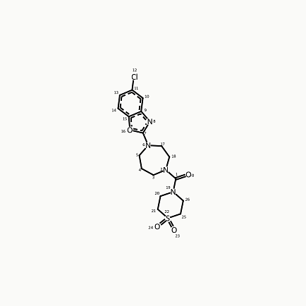 O=C(N1CCCN(c2nc3cc(Cl)ccc3o2)CC1)N1CCS(=O)(=O)CC1